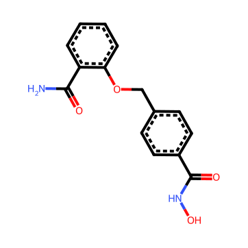 NC(=O)c1ccccc1OCc1ccc(C(=O)NO)cc1